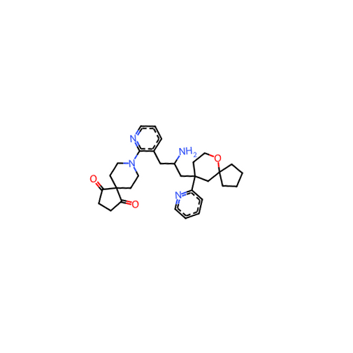 NC(Cc1cccnc1N1CCC2(CC1)C(=O)CCC2=O)CC1(c2ccccn2)CCOC2(CCCC2)C1